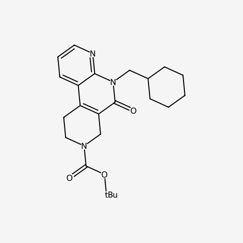 CC(C)(C)OC(=O)N1CCc2c(c(=O)n(CC3CCCCC3)c3ncccc23)C1